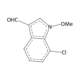 COn1cc(C=O)c2cccc(Cl)c21